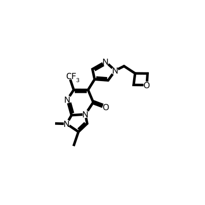 Cc1cn2c(=O)c(-c3cnn(CC4COC4)c3)c(C(F)(F)F)nc2n1C